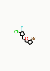 Fc1ccc(Cc2cc3cccc(Br)c3o2)cc1Cl